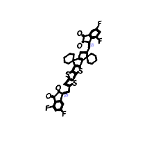 O=C1C(=O)c2c(F)cc(F)cc2/C1=C/c1cc2sc3c4c(sc3c2s1)C1=C(C=C(/C=C2\C(=O)C(=O)c3cc(F)cc(F)c32)C12CCCCC2)C41CCCCC1